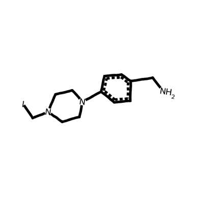 NCc1ccc(N2CCN(CI)CC2)cc1